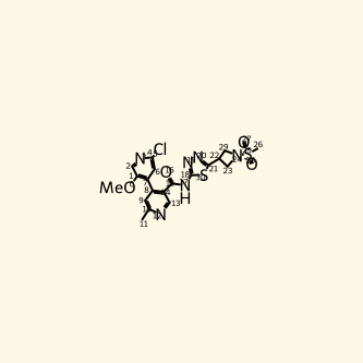 COc1cnc(Cl)cc1-c1cc(C)ncc1C(=O)Nc1nnc(C2CN(S(C)(=O)=O)C2)s1